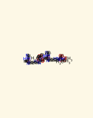 COC(=O)N[C@H](C(=O)N1CC2(C[C@H]1c1ncc(-c3ccc(-c4ccc(-c5cnc(C6C7CC(CC7C7COC8(C[C@@H](c9ncc(-c%10ccc(-c%11ccc(-c%12cnc(C%13C%14CCC(C%14)[C@@H]%13C(=O)NCc%13cccnc%13)[nH]%12)cc%11)cc%10)[nH]9)N(C(=O)[C@@H](NC(=O)OC)C(C)C)C8)O7)[C@@H]6C(=O)NCc6cccnc6)[nH]5)cc4)cc3)[nH]1)OCCO2)C(C)C